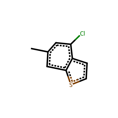 Cc1cc(Cl)c2ccsc2c1